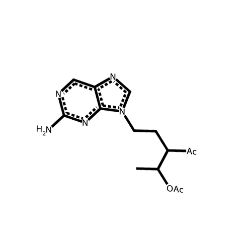 CC(=O)OC(C)C(CCn1cnc2cnc(N)nc21)C(C)=O